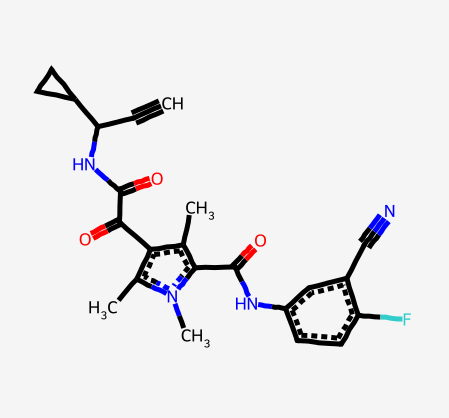 C#CC(NC(=O)C(=O)c1c(C)c(C(=O)Nc2ccc(F)c(C#N)c2)n(C)c1C)C1CC1